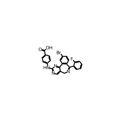 O=C(O)c1ccc(Nc2ncc3c(n2)-c2cc(Br)ccc2C(c2ccccc2F)=NC3)cc1